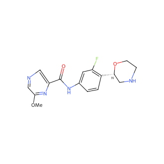 COc1cncc(C(=O)Nc2ccc([C@H]3CNCCO3)c(F)c2)n1